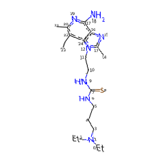 CCN(CC)CCCNC(=S)NCCn1c(C)nc2c(N)nc(C)c(C)c21